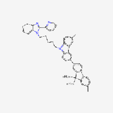 CCCCCCC1(CCCCCC)c2cc(C)ccc2-c2ccc(-c3ccc4c(c3)c3cc(C)ccc3n4CCCCCN3C4=CC=CCC4N=C3c3ccccn3)cc21